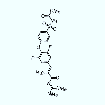 CNC(=NC(=O)/C(C)=C/c1cc(F)c(Oc2ccc(S(=O)(=O)NC(=O)OC)cc2)c(F)c1)NC